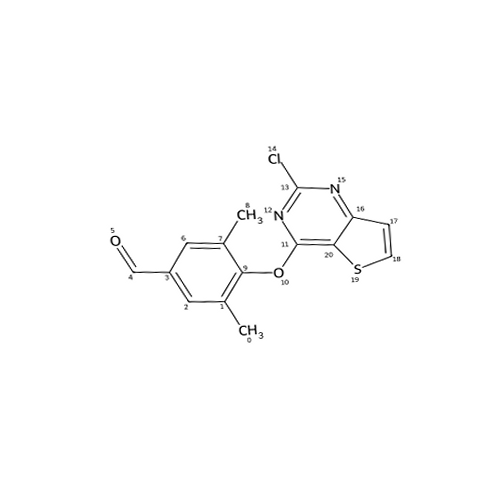 Cc1cc(C=O)cc(C)c1Oc1nc(Cl)nc2ccsc12